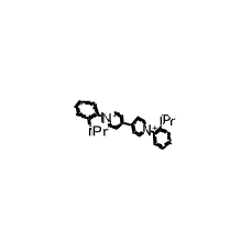 CC(C)c1ccccc1-[n+]1ccc(-c2cc[n+](-c3ccccc3C(C)C)cc2)cc1